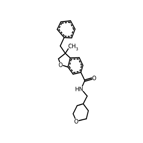 CC1(Cc2ccccc2)COc2cc(C(=O)NCC3CCOCC3)ccc21